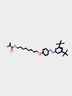 C=C(C)C(=O)OCCCCCCCCOc1ccc(/N=N/c2cc(C(C)(C)C)cc(C(C)(C)C)c2)cc1